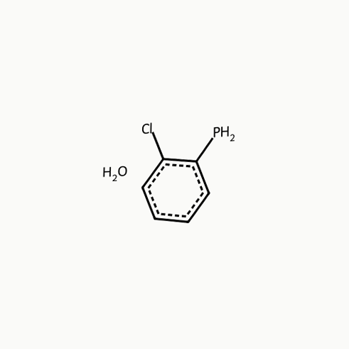 O.Pc1ccccc1Cl